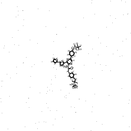 CC(C)(Cc1ccc(CC(=O)Nc2ncc(-c3ccc(O[Si](C)(C)C(C)(C)C)cc3)nc2-c2ccc(-c3cccs3)s2)cc1)[Si](C)(C)O